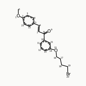 COc1ccc(/C=C/C(=O)c2cccc(OCCCCBr)c2)cc1